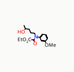 CCOC(=O)C(=O)N(CCCC(C)O)c1cccc(OC)c1